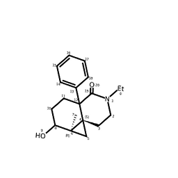 CCN1CC[C@@]23C[C@@]2(C)C(O)CCC3(c2ccccc2)C1=O